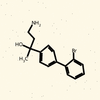 CC(O)(CCN)c1ccc(-c2ccccc2Br)cc1